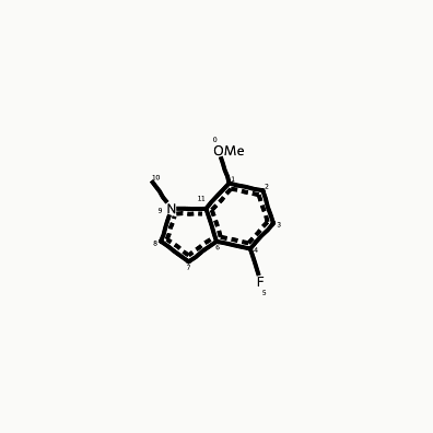 COc1ccc(F)c2ccn(C)c12